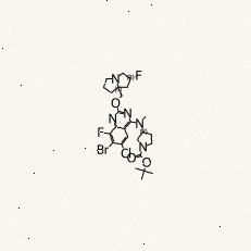 CN(c1nc(OC[C@@]23CCCN2C[C@H](F)C3)nc2c(F)c(Br)c(Cl)cc12)[C@@H]1CCN(C(=O)OC(C)(C)C)C1